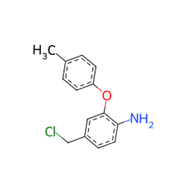 Cc1ccc(Oc2cc(CCl)ccc2N)cc1